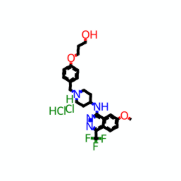 COc1ccc2c(C(F)(F)F)nnc(NC3CCN(Cc4ccc(OCCCO)cc4)CC3)c2c1.Cl.Cl